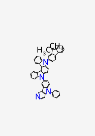 CC1(C)c2ccccc2-c2ccc(-n3c4ccccc4c4c5c6ccccc6n(-c6ccc7c(c6)c6cnccc6n7-c6ccccc6)c5ccc43)cc21